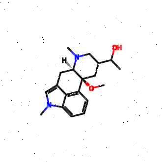 CO[C@]12CC(C(C)O)CN(C)[C@@H]1Cc1cn(C)c3cccc2c13